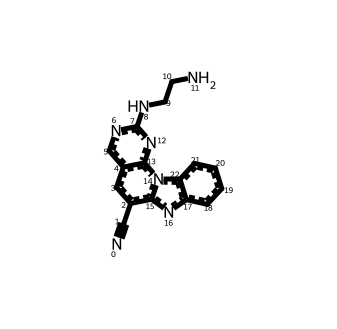 N#Cc1cc2cnc(NCCN)nc2n2c1nc1ccccc12